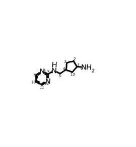 NC1CCC(CNc2ncccn2)C1